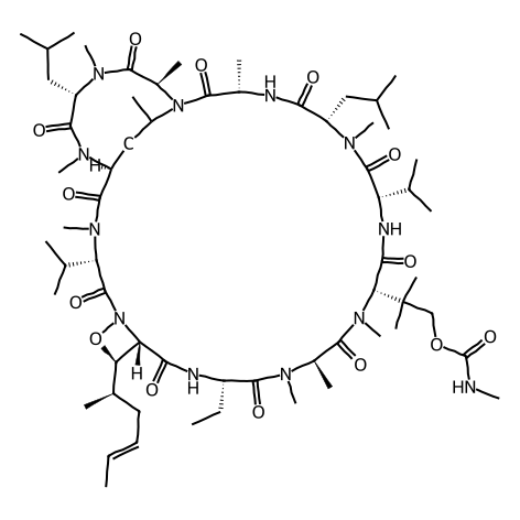 C/C=C/C[C@@H](C)[C@H]1ON2C(=O)[C@H](C(C)C)N(C)C(=O)[C@@H]3CC(C)N(C(=O)[C@H](C)NC(=O)[C@H](CC(C)C)N(C)C(=O)[C@H](C(C)C)NC(=O)[C@H](C(C)(C)COC(=O)NC)N(C)C(=O)[C@@H](C)N(C)C(=O)[C@H](CC)NC(=O)[C@H]12)[C@H](C)C(=O)N(C)[C@@H](CC(C)C)C(=O)N3C